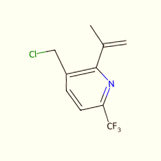 C=C(C)c1nc(C(F)(F)F)ccc1CCl